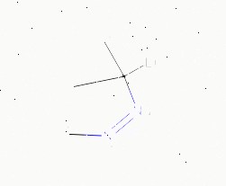 CCC(C)(C)/N=N\C